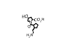 NC/C=C1\CCCC1C(=O)N1C[C@H](O)C[C@H]1C(=O)O